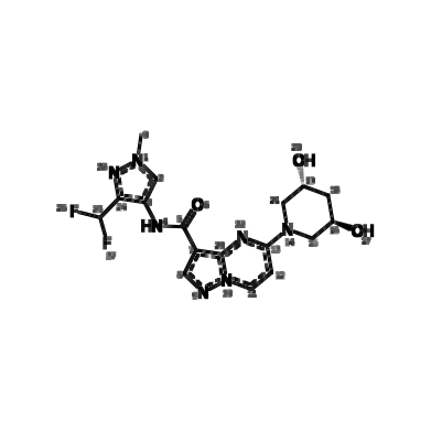 Cn1cc(NC(=O)c2cnn3ccc(N4C[C@H](O)C[C@@H](O)C4)nc23)c(C(F)F)n1